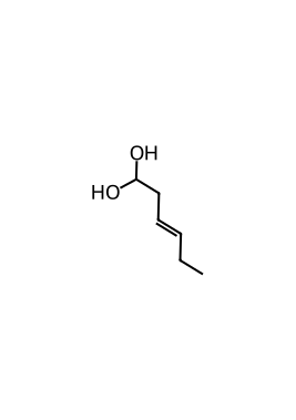 CCC=CCC(O)O